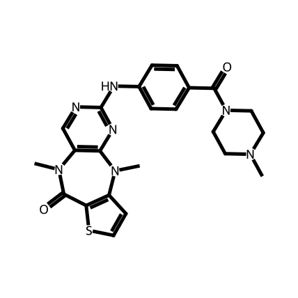 CN1CCN(C(=O)c2ccc(Nc3ncc4c(n3)N(C)c3ccsc3C(=O)N4C)cc2)CC1